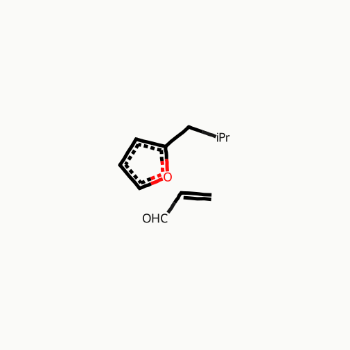 C=CC=O.CC(C)Cc1ccco1